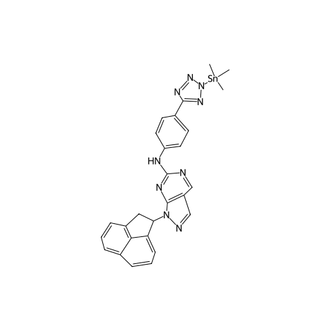 [CH3][Sn]([CH3])([CH3])[n]1nnc(-c2ccc(Nc3ncc4cnn(C5Cc6cccc7cccc5c67)c4n3)cc2)n1